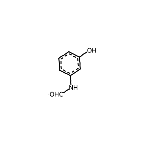 O=[C]Nc1cccc(O)c1